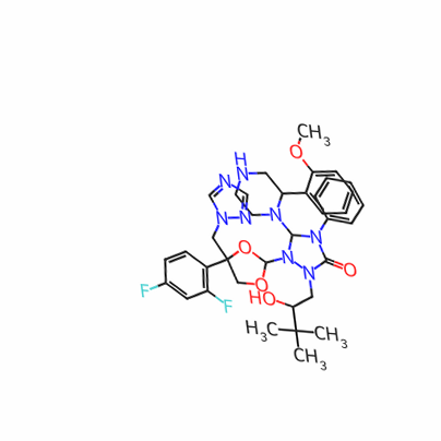 COc1ccccc1C1CNCCN1C1N(c2ccccc2)C(=O)N(CC(O)C(C)(C)C)N1C1OCC(Cn2cncn2)(c2ccc(F)cc2F)O1